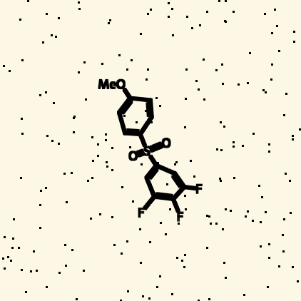 COc1ccc(S(=O)(=O)c2cc(F)c(F)c(F)c2)cc1